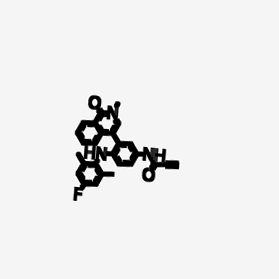 C#CC(=O)Nc1ccc(Nc2c(C)cc(F)cc2C)c(-c2cn(C)c(=O)c3ccccc23)c1